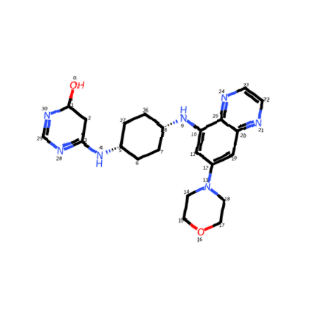 OC1CC(N[C@H]2CC[C@@H](Nc3cc(N4CCOCC4)cc4nccnc34)CC2)=NC=N1